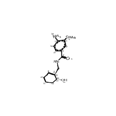 COc1cc(C(=O)NC[C@@H]2CCCC[C@H]2O)ccc1N